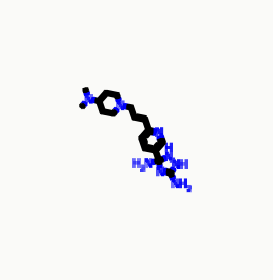 CN(C)C1CCN(C/C=C/c2ccc(C3(N)N=C(N)NN3)cn2)CC1